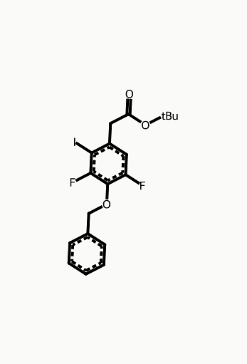 CC(C)(C)OC(=O)Cc1cc(F)c(OCc2ccccc2)c(F)c1I